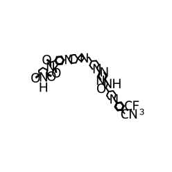 N#Cc1ccc(N2CCC(C(=O)Nc3cnc(N4CCC(CN5CC6(CCN(c7ccc8c(c7)C(=O)N(C7CCC(=O)NC7=O)C8=O)CC6)C5)CC4)cn3)CC2)cc1C(F)(F)F